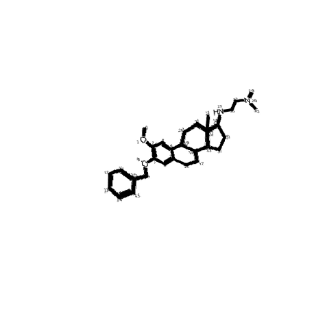 COc1cc2c(cc1OCc1ccccc1)CCC1C2CCC2(C)C(NCCN(C)C)CCC12